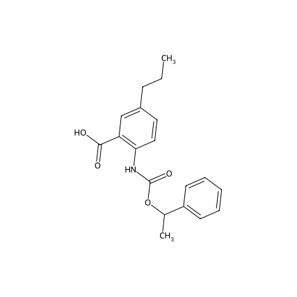 CCCc1ccc(NC(=O)OC(C)c2ccccc2)c(C(=O)O)c1